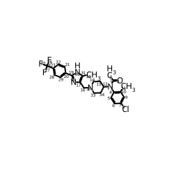 CC(=O)N(c1ccc(Cl)cc1C)C1CCN(Cc2nc(-c3ccc(C(F)(F)F)cc3)[nH]c2C)CC1